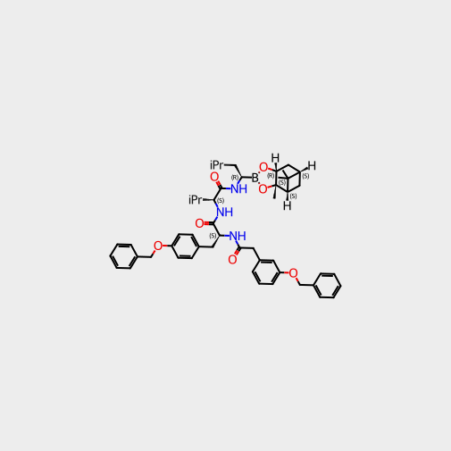 CC(C)C[C@H](NC(=O)[C@@H](NC(=O)[C@H](Cc1ccc(OCc2ccccc2)cc1)NC(=O)Cc1cccc(OCc2ccccc2)c1)C(C)C)B1O[C@@H]2C[C@@H]3C[C@@H](C3(C)C)[C@]2(C)O1